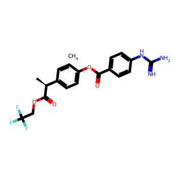 C.C[C@H](C(=O)OCC(F)(F)F)c1ccc(OC(=O)c2ccc(NC(=N)N)cc2)cc1